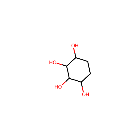 OC1CCC(O)C(O)C1O